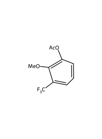 COc1c(OC(C)=O)cccc1C(F)(F)F